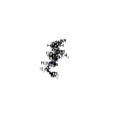 CC(=O)NC1C(O)[C@H](O[C@@H]2OC(CO)[C@H](O)C(O)[C@@H]2NC(=O)CN=[N+]=[N-])C(CO)O[C@H]1OC1[C@@H](O)[C@@H](O)C(C(N)=O)O[C@H]1P(=O)(O)OC[C@@H](OC/C=C(/C)CC/C=C(\C)CCC=C(C)C)C(=O)O